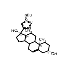 CCCCn1cc([C@]2(O)CCC3C4CC=C5C[C@@H](O)CC[C@]5(C)C4CC[C@@]32C)nn1